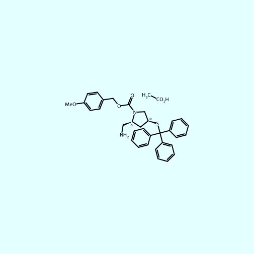 CC(=O)O.COc1ccc(COC(=O)N2C[C@@H](SC(c3ccccc3)(c3ccccc3)c3ccccc3)C[C@H]2CN)cc1